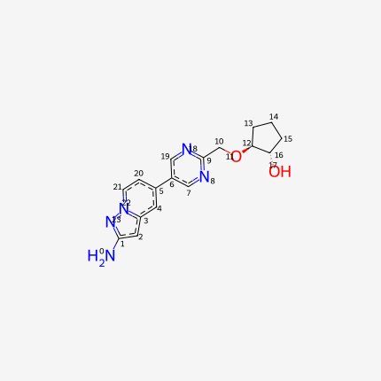 Nc1cc2cc(-c3cnc(CO[C@H]4CCC[C@@H]4O)nc3)ccn2n1